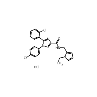 CCn1cccc1CNC(=O)c1cn(-c2ccc(Cl)cc2)c(-c2ccccc2Cl)n1.Cl